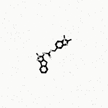 Cc1nc2cc(COC(=O)Nc3c4c(nn3C)-c3ccccc3C4)ccc2n1C